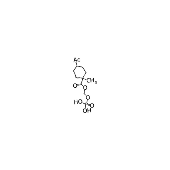 CC(=O)C1CCC(C)(C(=O)OCOP(=O)(O)O)CC1